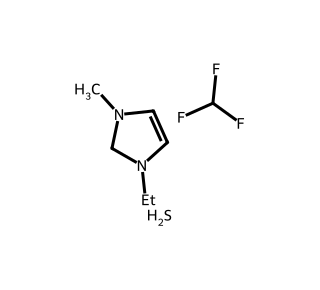 CCN1C=CN(C)C1.FC(F)F.S